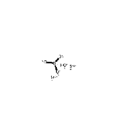 [O-]B([O-])[O-].[OH-].[Sr+2].[Sr+2]